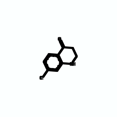 O=C1CCNc2cc(Cl)ccc21